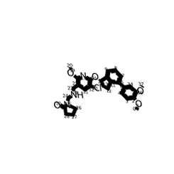 COc1ccc(-c2cccc3c2CC[C@@H]3Oc2nc(OC)c(CNCN3CCCC3=O)cc2Cl)cc1OC